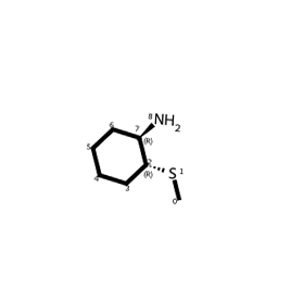 CS[C@@H]1CCCC[C@H]1N